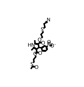 CC(=O)SCCCOC(=O)C1=C(C)NC(C)=C(C(=O)OCCCSCCC#N)C1c1cccc([N+](=O)[O-])c1